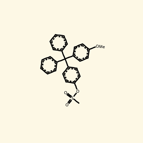 COc1ccc(C(c2ccccc2)(c2ccccc2)c2ccc(OS(C)(=O)=O)cc2)cc1